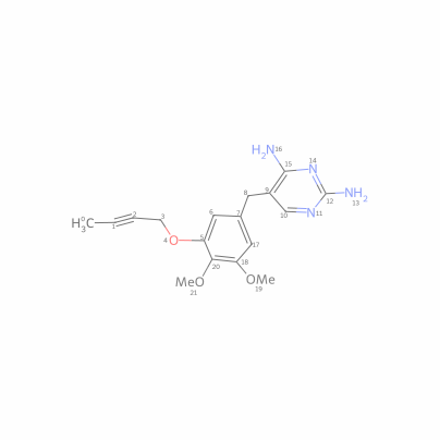 CC#CCOc1cc(Cc2cnc(N)nc2N)cc(OC)c1OC